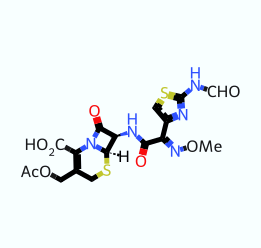 CO/N=C(/C(=O)N[C@@H]1C(=O)N2C(C(=O)O)=C(COC(C)=O)CS[C@H]12)c1csc(NC=O)n1